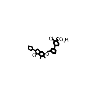 Cc1c(OCc2cccc(-c3ccc(C(=O)O)c(Cl)c3)c2)cc2c(c1C)C(=O)C(C1CCCC1)C2